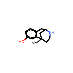 CCCC12CCNC(Cc3ccc(O)cc31)C2